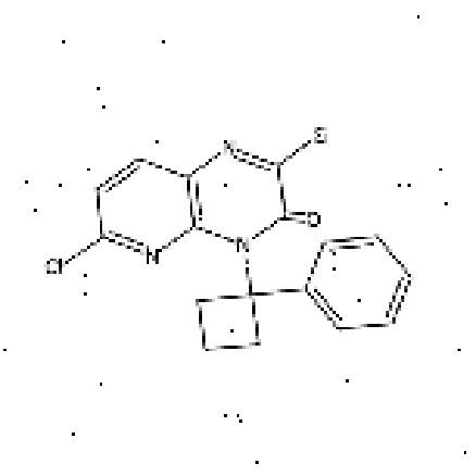 O=c1c(Cl)nc2ccc(Cl)nc2n1C1(c2ccccc2)CCC1